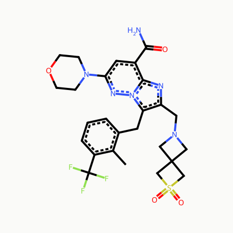 Cc1c(Cc2c(CN3CC4(C3)CS(=O)(=O)C4)nc3c(C(N)=O)cc(N4CCOCC4)nn23)cccc1C(F)(F)F